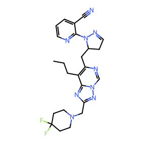 CCCc1c(CC2CC=NN2c2ncccc2C#N)ncn2nc(CN3CCC(F)(F)CC3)nc12